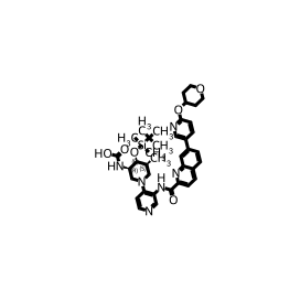 C[C@H]1CN(c2ccncc2NC(=O)c2ccc3ccc(-c4ccc(OC5CCOCC5)nc4)cc3n2)C[C@@H](NC(=O)O)[C@@H]1O[Si](C)(C)C(C)(C)C